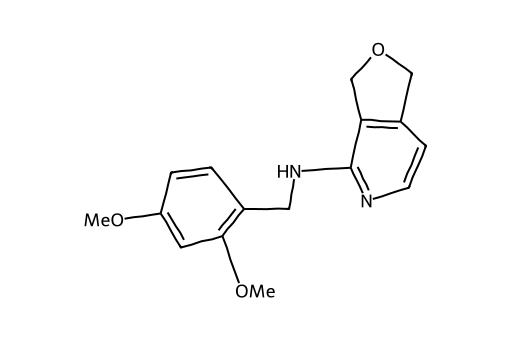 COc1ccc(CNc2nccc3c2COC3)c(OC)c1